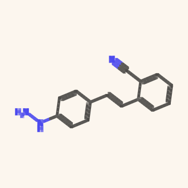 N#Cc1ccccc1C=Cc1ccc(NN)cc1